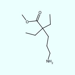 CCC(CC)(CCCN)C(=O)OC